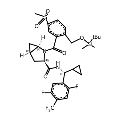 CC(C)(C)[Si](C)(C)OCc1ccc(S(C)(=O)=O)cc1C(=O)N1[C@@H](C(=O)N[C@@H](c2cc(F)c(C(F)(F)F)cc2F)C2CC2)C[C@H]2C[C@H]21